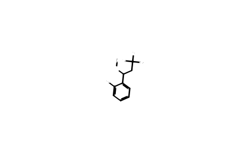 CCOC(CC([N+](=O)[O-])([N+](=O)[O-])[N+](=O)[O-])c1ccccc1[N+](=O)[O-]